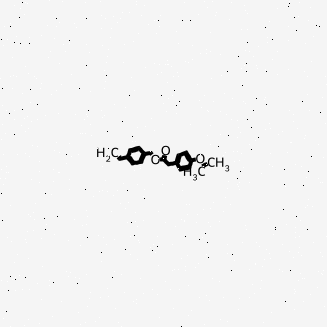 C=Cc1ccc(COC(=O)Cc2ccc(OC(C)C)cc2)cc1